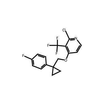 Fc1ccc(C2(COc3ccnc(Cl)c3C(F)(F)F)CC2)cc1